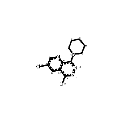 Clc1cnc2c(N3CCCCC3)nnc(Cl)c2c1